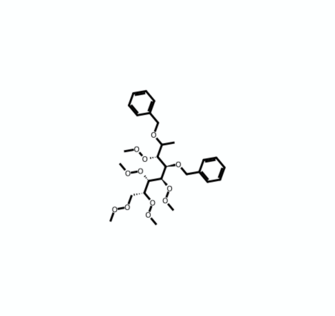 COOC[C@@H](OOC)[C@H](OOC)[C@H](OOC)[C@H](OCc1ccccc1)[C@H](OOC)C(C)OCc1ccccc1